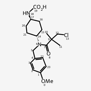 COc1ccc(CN(C(=O)C(C)(C)CCl)[C@H]2CC[C@H](NC(=O)O)CC2)cc1